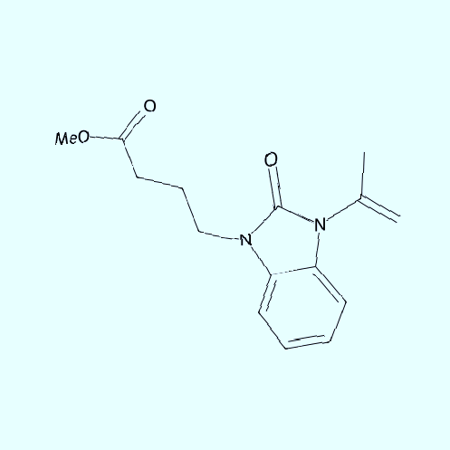 C=C(C)n1c(=O)n(CCCC(=O)OC)c2ccccc21